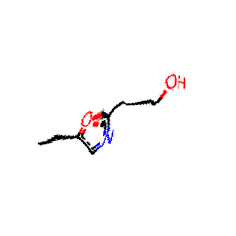 Cc1cnc(CCO)o1